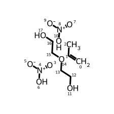 C=CC.O=[N+]([O-])O.O=[N+]([O-])O.OCCOCCO